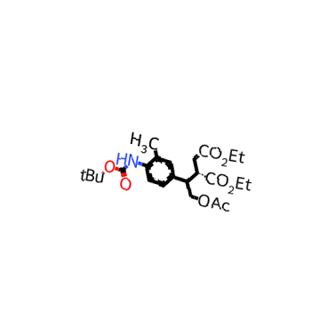 CCOC(=O)C[C@H](C(=O)OCC)C(COC(C)=O)c1ccc(NC(=O)OC(C)(C)C)c(C)c1